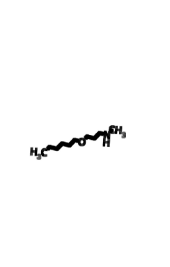 CCCCCCOCCCNC